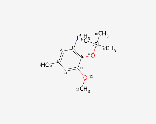 [CH]c1cc(I)c(O[Si](C)(C)C)c(OC)c1